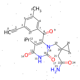 C#Cc1cc(C)cc(C(=O)c2c(C(C)C)c(=O)[nH]c(=O)n2CC2(CC(N)=O)CC2)c1